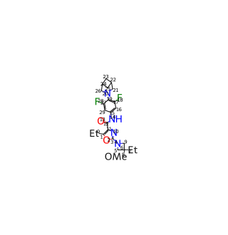 CCc1oc(N2CC(CC)(OC)C2)nc1C(=O)Nc1cc(F)c(N2CC3CC(C3)C2)c(F)c1